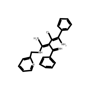 N=C(C(=C(/N)NCc1ccccn1)/C(Cl)=C(\N)c1ccccc1)c1ccccc1